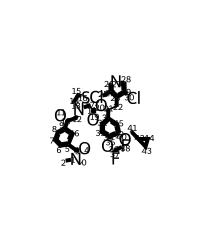 CN(C)C(=O)c1cccc(C(=O)CN2CCS[C@H]2C(=O)O[C@@H](Cc2c(Cl)cncc2Cl)c2ccc(OC(F)F)c(OCC3CC3)c2)c1